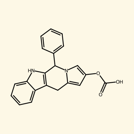 O=C(O)Oc1cc2n(c1)C(c1ccccc1)c1[nH]c3ccccc3c1C2